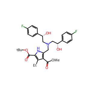 CCc1c(C(=O)OC(C)(C)C)[nH]c(CN(C[C@@H](O)c2ccc(F)cc2)C[C@@H](O)c2ccc(F)cc2)c1C(=O)OC